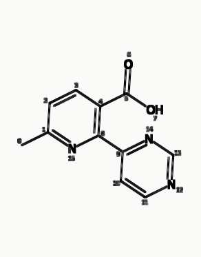 Cc1ccc(C(=O)O)c(-c2ccncn2)n1